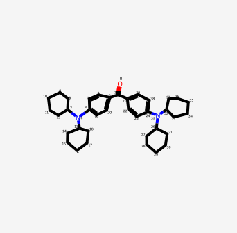 O=C(c1ccc(N(C2CCCCC2)C2CCCCC2)cc1)c1ccc(N(C2CCCCC2)C2CCCCC2)cc1